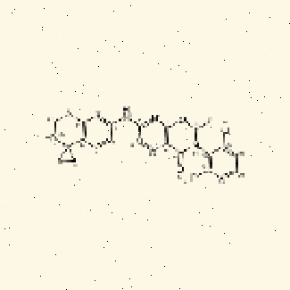 CC1Oc2nc(Nc3ccc4c(c3)CCNC43CC3)ncc2C(=O)N1c1c(F)cccc1Cl